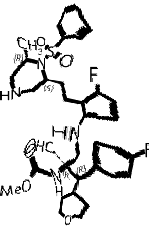 COC(=O)N[C@@](C=O)(CNc1cccc(F)c1CC[C@H]1CNC[C@@H](C)N1S(=O)(=O)c1ccccc1)[C@@H](c1ccc(F)cc1)C1CCOCC1